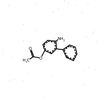 CC(=O)Oc1ccc(N)c(-c2ccccc2)c1